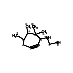 CC1CC#CC(NCS)C(C)(C)C1C